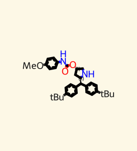 COc1ccc(NC(=O)O[C@H]2CN[C@@H](C(c3ccc(C(C)(C)C)cc3)c3ccc(C(C)(C)C)cc3)C2)cc1